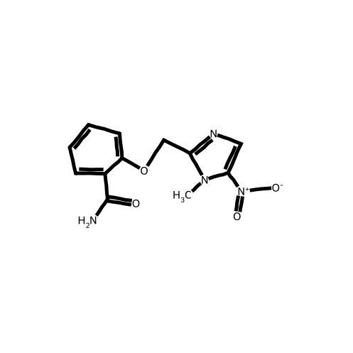 Cn1c([N+](=O)[O-])cnc1COc1ccccc1C(N)=O